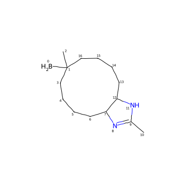 BC1(C)CCCCC2N=C(C)NC2CCCC1